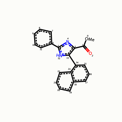 COC(=O)c1nc(-c2ccccc2)[nH]c1-c1cccc2ccccc12